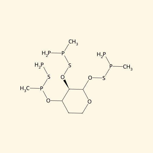 CP(P)SOC1OCCC(OP(C)SP)[C@H]1OSP(C)P